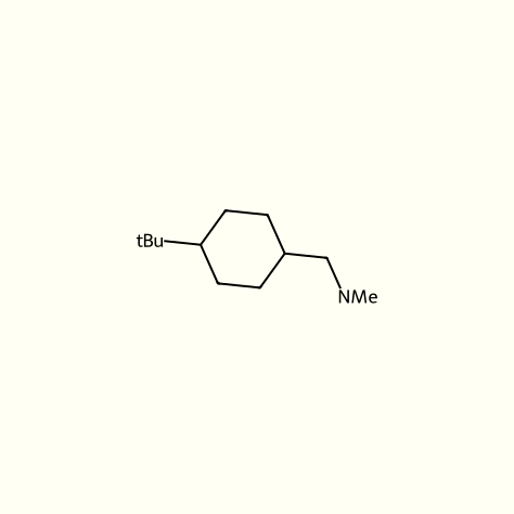 CNCC1CCC(C(C)(C)C)CC1